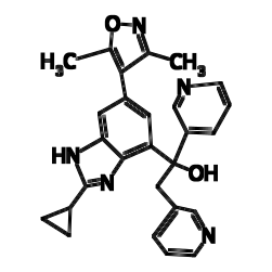 Cc1noc(C)c1-c1cc(C(O)(Cc2cccnc2)c2cccnc2)c2nc(C3CC3)[nH]c2c1